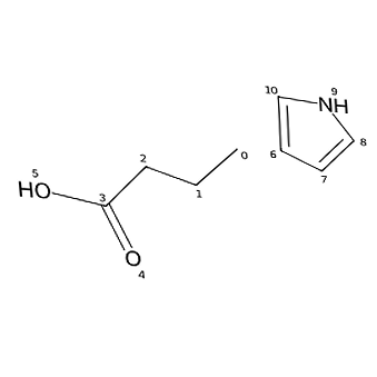 CCCC(=O)O.c1cc[nH]c1